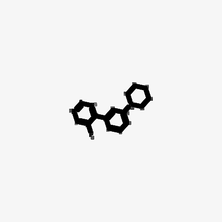 Fc1cncnc1-c1cccc(N2CCCCC2)c1